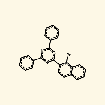 Brc1c(-c2nc(-c3ccccc3)nc(-c3ccccc3)n2)ccc2ccccc12